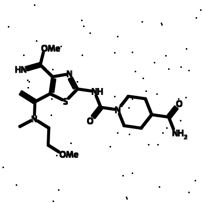 C=C(c1sc(NC(=O)N2CCC(C(N)=O)CC2)nc1C(=N)OC)N(C)CCOC